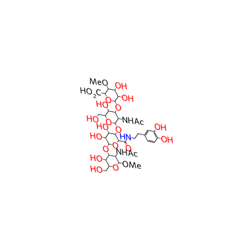 COC1OC(CO)C(O)C(OC2OC(C(=O)NCCc3ccc(O)c(O)c3)C(OC3OC(CO)C(O)C(OC4OC(C(=O)O)C(OC)C(O)C4O)C3NC(C)=O)C(O)C2O)C1NC(C)=O